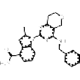 Cc1cc2c(C(N)=O)cccc2n1-c1nc2c(c(NCc3ccccc3)n1)COCC2